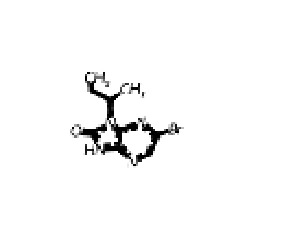 CCC(C)n1c(=O)[nH]c2ncc(Br)nc21